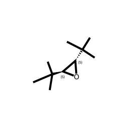 CC(C)(C)[C@@H]1O[C@H]1C(C)(C)C